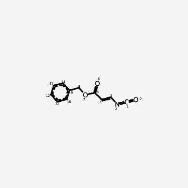 O=C=N/C=C/C(=O)OCc1ccccc1